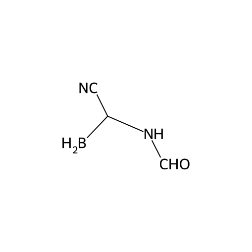 BC(C#N)NC=O